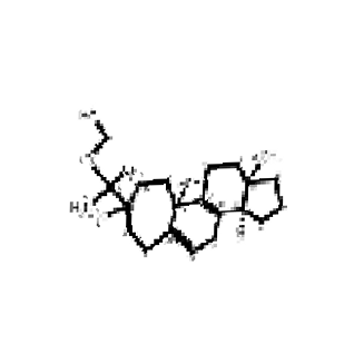 CC1(C(C)(C)OCO)CCC2=CCC3=C(CC[C@]4(C)CCC[C@@H]34)[C@@]2(C)CC1